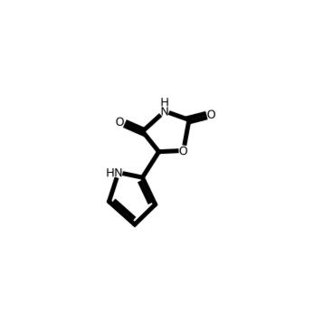 O=C1NC(=O)C(c2ccc[nH]2)O1